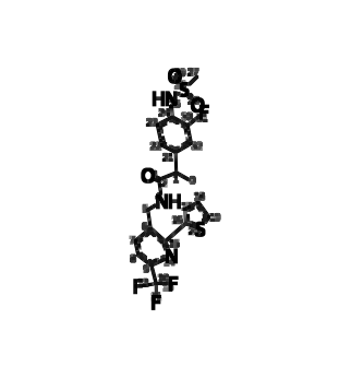 CC(C(=O)NCc1ccc(C(F)(F)F)nc1-c1cccs1)c1ccc(NS(C)(=O)=O)c(F)c1